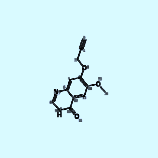 C#CCOc1cc2nc[nH]c(=O)c2cc1OC